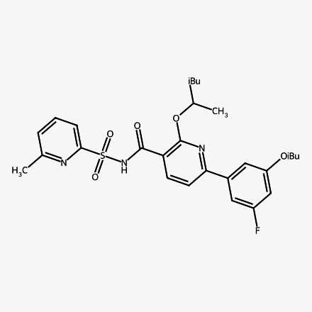 CCC(C)C(C)Oc1nc(-c2cc(F)cc(OCC(C)C)c2)ccc1C(=O)NS(=O)(=O)c1cccc(C)n1